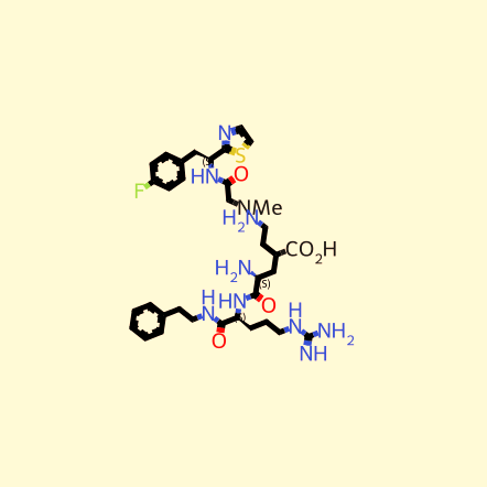 CNCC(=O)N[C@@H](Cc1ccc(F)cc1)c1nccs1.N=C(N)NCCC[C@H](NC(=O)[C@@H](N)CC(CCN)C(=O)O)C(=O)NCCc1ccccc1